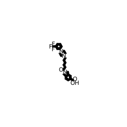 O=C(O)c1ccc2c(c1)CN(C(=O)CCCCCN1CCN(c3cccc(C(F)(F)F)c3)CC1)C2